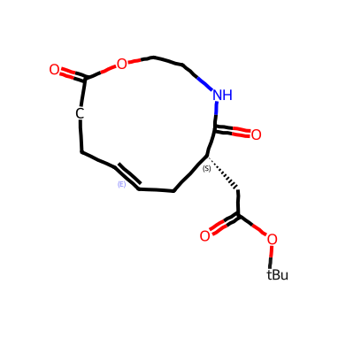 CC(C)(C)OC(=O)C[C@@H]1C/C=C/CCC(=O)OCCNC1=O